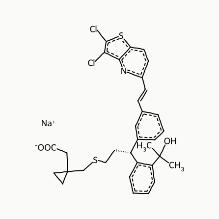 CC(C)(O)c1ccccc1[C@H](CCSCC1(CC(=O)[O-])CC1)c1cccc(C=Cc2ccc3sc(Cl)c(Cl)c3n2)c1.[Na+]